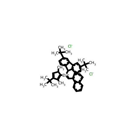 CC1=[C](/[Zr+2](=[CH]/c2cccc3ccccc23)[CH]2c3ccc(C(C)(C)C)cc3-c3cc(C(C)(C)C)ccc32)C(C)C=C1C(C)(C)C.[Cl-].[Cl-]